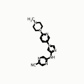 CN1CCN(c2ccc(-n3cnc(Nc4cnc(C#N)cn4)c3)cn2)CC1